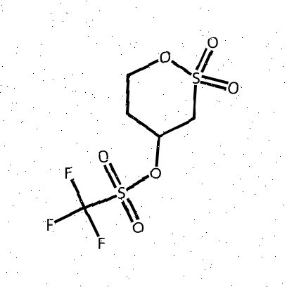 O=S1(=O)CC(OS(=O)(=O)C(F)(F)F)CCO1